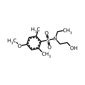 CCN(CCO)S(=O)(=O)c1c(C)cc(OC)cc1C